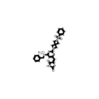 CN(Cc1ccccc1)c1cc(C=C2SC(=O)NC2=O)nc(N2CC3(C2)CN(S(=O)(=O)c2ccccc2)C3)n1